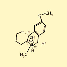 COc1ccc2c(c1)[C@]13CCCC[C@@H]1[C@H](C2)N(C)CC3.[H+]